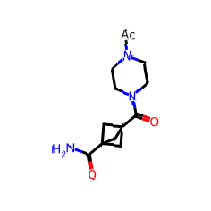 CC(=O)N1CCN(C(=O)C23CC(C(N)=O)(C2)C3)CC1